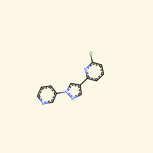 Clc1cccc(-c2cnn(-c3cccnc3)c2)n1